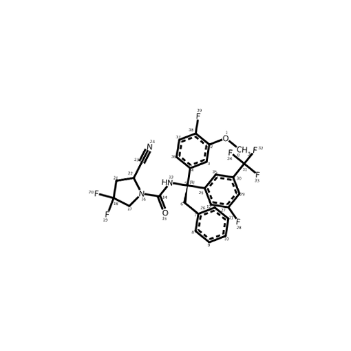 COc1cc([C@@](Cc2ccccc2)(NC(=O)N2CC(F)(F)CC2C#N)c2cc(F)cc(C(F)(F)F)c2)ccc1F